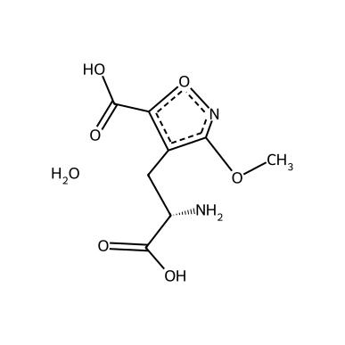 COc1noc(C(=O)O)c1C[C@H](N)C(=O)O.O